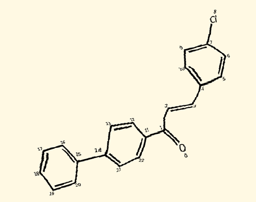 O=C(C=Cc1ccc(Cl)cc1)c1ccc(-c2ccccc2)cc1